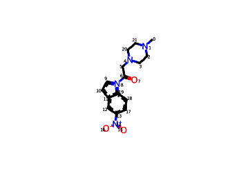 CN1CCN(CC(=O)n2ccc3cc([N+](=O)[O-])ccc32)CC1